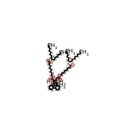 CCCCCCCCC(CCCCCC)SC(=O)CCCCCCCOC(=O)CCC(O[Si](c1ccccc1)(c1ccccc1)C(C)(C)C)C(=O)OCCCCCCCC(=O)SC(CCCCCC)CCCCCCCC